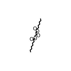 CCCCCCCC(=O)OCC(=O)COC(=O)CCCCCC